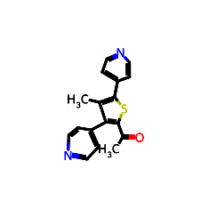 CC(=O)c1sc(-c2ccncc2)c(C)c1-c1ccncc1